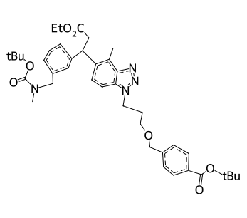 CCOC(=O)CC(c1cccc(CN(C)C(=O)OC(C)(C)C)c1)c1ccc2c(nnn2CCCOCc2ccc(C(=O)OC(C)(C)C)cc2)c1C